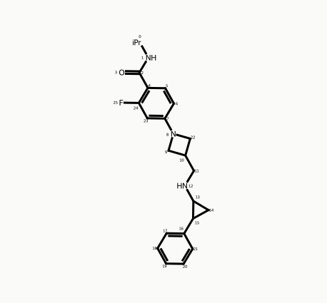 CC(C)NC(=O)c1ccc(N2CC(CNC3CC3c3ccccc3)C2)cc1F